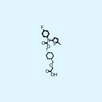 Cc1ccc(N(C(=O)OC[C@H]2CC[C@H](COCC(=O)O)CC2)c2ccc(F)cc2)s1